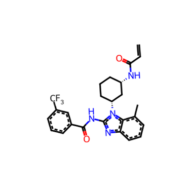 C=CC(=O)N[C@H]1CCC[C@@H](n2c(NC(=O)c3cccc(C(F)(F)F)c3)nc3cccc(C)c32)C1